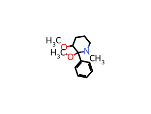 COC1CCCN(C)C1(OC)c1ccccc1